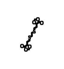 O=C1OCOC1CCSCCSCCC1OCOC1=O